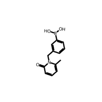 Cc1cccc(=O)n1Cc1cccc(B(O)O)c1